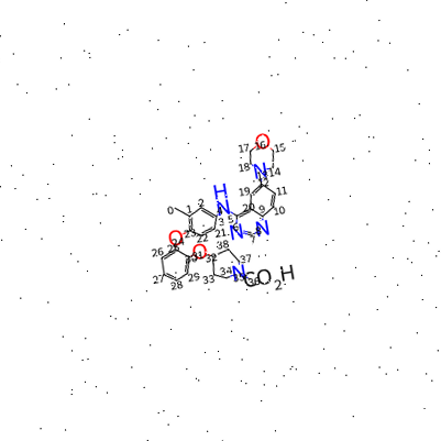 Cc1cc(Nc2ncnc3ccc(N4CCOCC4)cc23)ccc1Oc1ccccc1OC1CCN(C(=O)O)CC1